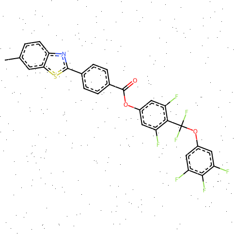 Cc1ccc2nc(-c3ccc(C(=O)Oc4cc(F)c(C(F)(F)Oc5cc(F)c(F)c(F)c5)c(F)c4)cc3)sc2c1